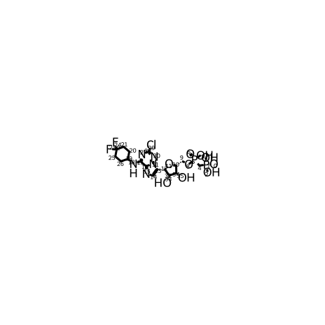 O=P(O)(O)CP(=O)(O)OC[C@H]1O[C@@H](c2cnc3c(NC4CCC(F)(F)CC4)nc(Cl)nn23)[C@H](O)[C@@H]1O